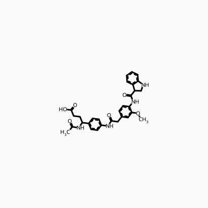 COc1cc(CC(=O)Nc2ccc(C(CCC(=O)O)NC(C)=O)cc2)ccc1NC(=O)C1CNc2ccccc21